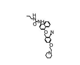 CCCNC(=O)Nc1ccc(OCc2ccc(OCCN3CCCCC3)cc2C#N)c2ccccc12